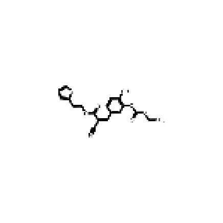 CCOC(=O)Oc1cc(C=C(C#N)C(=O)OCCc2cccs2)ccc1O